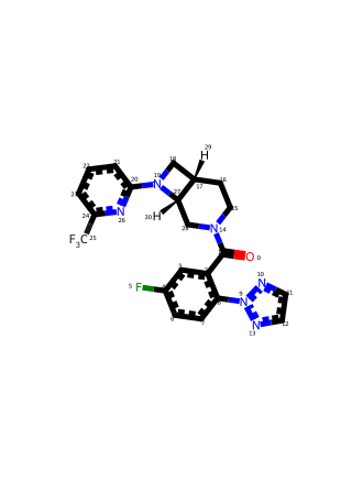 O=C(c1cc(F)ccc1-n1nccn1)N1CC[C@H]2CN(c3cccc(C(F)(F)F)n3)[C@H]2C1